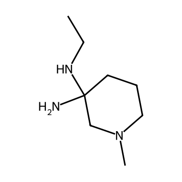 CCNC1(N)CCCN(C)C1